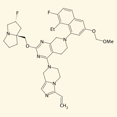 C=Cc1ncc2n1CCN(c1nc(OC[C@@]34CCCN3C[C@H](F)C4)nc3c1CCN(c1cc(OCOC)cc4ccc(F)c(CC)c14)C3)C2